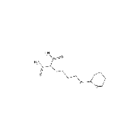 NC(=O)C(CCCCOC1CCCCO1)C(N)=O